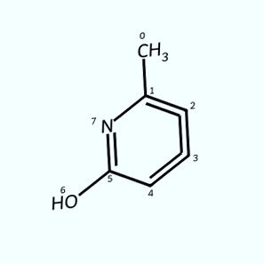 CC1=C=C=CC(O)=N1